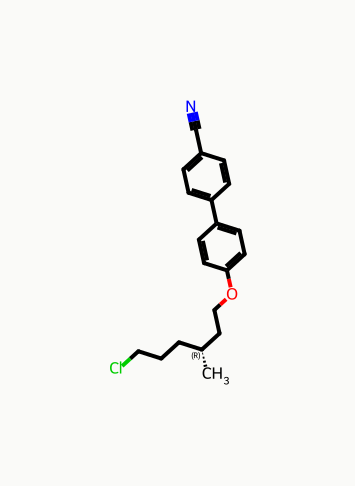 C[C@H](CCCCl)CCOc1ccc(-c2ccc(C#N)cc2)cc1